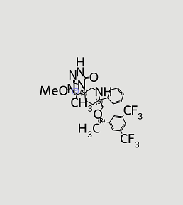 CO/N=C(\C)[C@]1(n2cn[nH]c2=O)CC[C@@](CO[C@H](C)c2cc(C(F)(F)F)cc(C(F)(F)F)c2)(C2C=CC=CC2)NC1